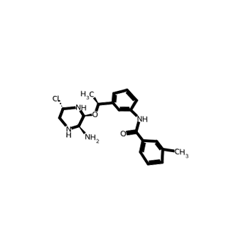 Cc1cccc(C(=O)Nc2cccc([C@H](C)O[C@@H]3N[C@@H](Cl)CN[C@@H]3N)c2)c1